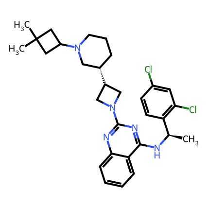 C[C@@H](Nc1nc(N2CC([C@H]3CCCN(C4CC(C)(C)C4)C3)C2)nc2ccccc12)c1ccc(Cl)cc1Cl